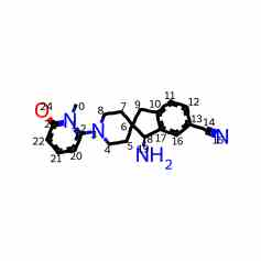 Cn1c(N2CCC3(CC2)Cc2ccc(C#N)cc2[C@H]3N)cccc1=O